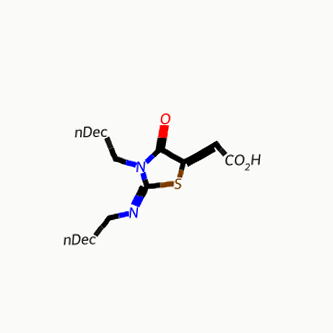 CCCCCCCCCCCN=C1SC(=CC(=O)O)C(=O)N1CCCCCCCCCCC